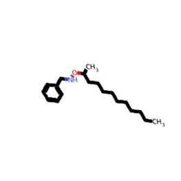 CCCCCCCCCCC(C)ONCc1ccccc1